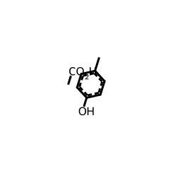 CC(=O)O.Cc1ccc(O)cc1